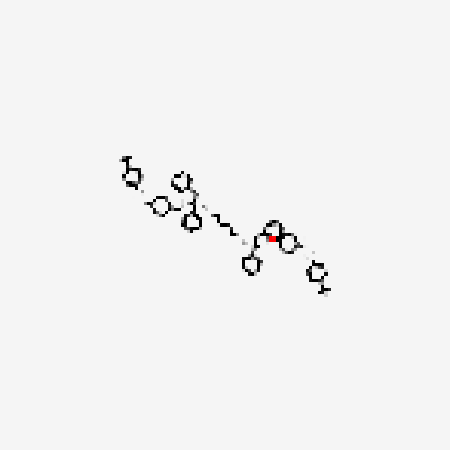 O=C(CCC(=O)OC[C@@](Cc1ccccc1)(NC(=O)C1CCC(NS(=O)(=O)c2ccc(C(F)(F)F)cc2)CC1)c1ccccc1)OC[C@@](Cc1ccccc1)(NC(=O)C1CCC(NS(=O)(=O)c2ccc(C(F)(F)F)cc2)CC1)c1ccccc1